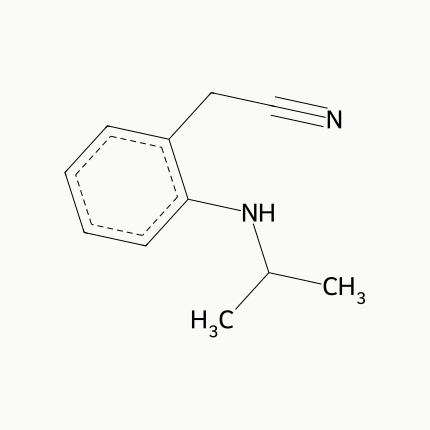 CC(C)Nc1ccccc1CC#N